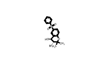 CC1(C)Oc2ccc(S(=O)(=O)c3ccccc3)cc2[C@H](O)[C@H]1Br